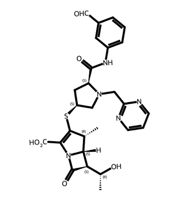 C[C@@H](O)[C@H]1C(=O)N2C(C(=O)O)=C(S[C@H]3C[C@@H](C(=O)Nc4cccc(C=O)c4)N(Cc4ncccn4)C3)[C@H](C)[C@H]12